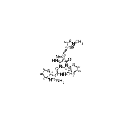 CC(NC(=O)c1c(N)nn2cccnc12)c1nc2[nH]nc(C#Cc3ccn(C)n3)c2c(=O)n1-c1ccccc1